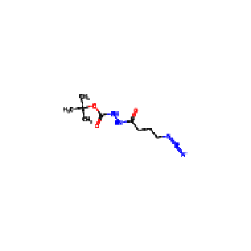 CC(C)(C)OC(=O)NNC(=O)CCCN=[N+]=[N-]